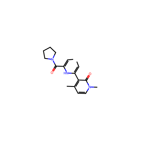 C/C=C(\N/C(=C\C)c1c(C)ccn(C)c1=O)C(=O)N1CCCC1